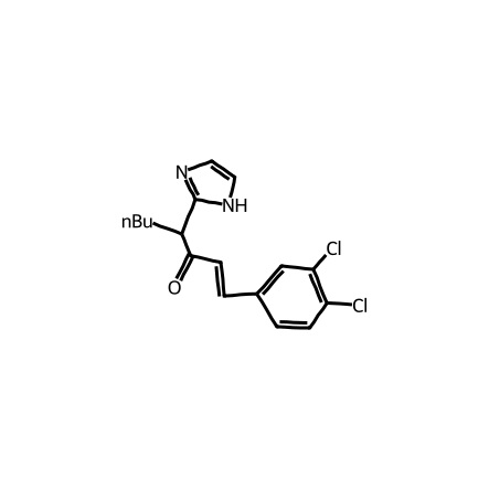 CCCCC(C(=O)C=Cc1ccc(Cl)c(Cl)c1)c1ncc[nH]1